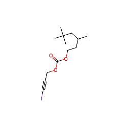 CC(CCOC(=O)OCC#CI)CC(C)(C)C